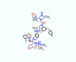 CN[C@@H](C)C(=O)NC(C(=O)N1Cc2ccc(NC(=O)[C@@]3(C)CN(C(=O)CN4C[C@@H](C)NC[C@@H]4CN4CCOC[C@H]4C)c4cc(Cc5ccc(F)cc5)ccc43)cc2[C@H]1C(=O)Nc1c(F)cccc1F)C1CCOCC1